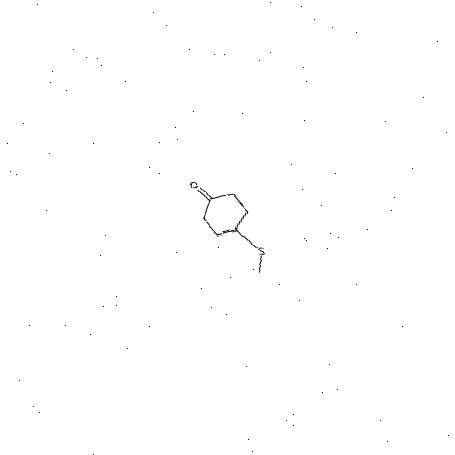 CSC1CCC(=O)CC1